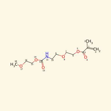 C=C(C)C(=O)OCCOCCNC(=O)OCCOC